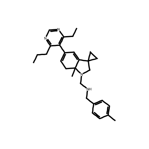 CCCc1ncnc(CC)c1C1=CCC2(C)C(=C1)C1(CC1)CN2CNCc1ccc(C)cc1